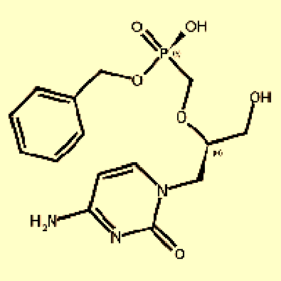 Nc1ccn(C[C@H](CO)OC[P@](=O)(O)OCc2ccccc2)c(=O)n1